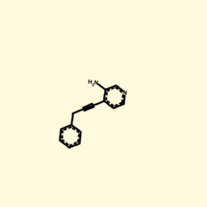 Nc1cnccc1C#CCc1ccccc1